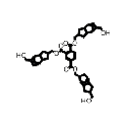 O=C(OCC1CC2CC1C1CC(CO)CC21)c1ccc(C(=O)OCC2CC3C4CC(CO)C(C4)C3C2)c(C(=O)OCC2CC3C4CC(CO)C(C4)C3C2)c1